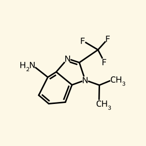 CC(C)n1c(C(F)(F)F)nc2c(N)cccc21